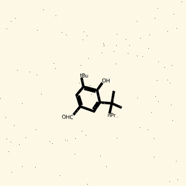 CCCC(C)(C)c1cc(C=O)cc(C(C)(C)C)c1O